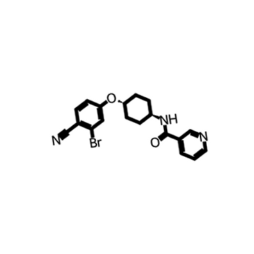 N#Cc1ccc(O[C@H]2CC[C@H](NC(=O)c3cccnc3)CC2)cc1Br